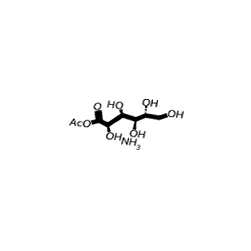 CC(=O)OC(=O)[C@H](O)[C@@H](O)[C@H](O)[C@H](O)CO.N